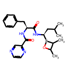 CC(C)C[C@H](NC(=O)[C@H](Cc1ccccc1)NC(=O)c1cnccn1)B1OC(C)C1C